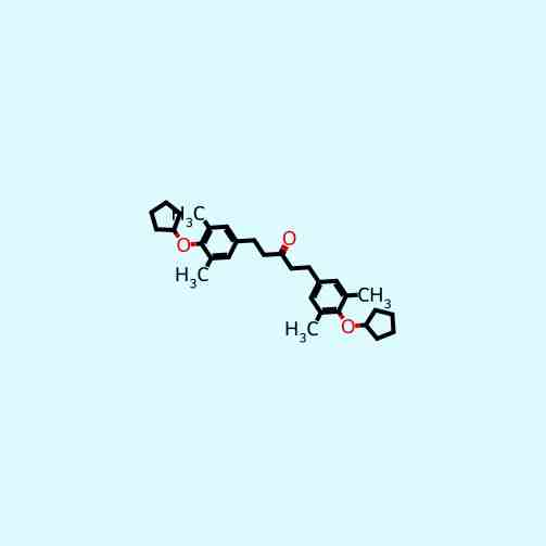 Cc1cc(CCC(=O)CCc2cc(C)c(OC3CCCC3)c(C)c2)cc(C)c1OC1CCCC1